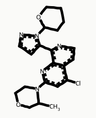 CC1COCCN1c1cc(Cl)c2ccnc(-c3ccnn3C3CCCCO3)c2n1